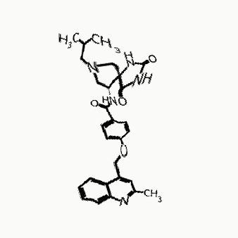 Cc1cc(COc2ccc(C(=O)N[C@@H]3CN(CC(C)C)C[C@]34NC(=O)NC4=O)cc2)c2ccccc2n1